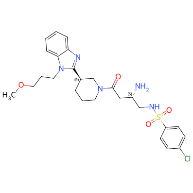 COCCCn1c([C@@H]2CCCN(C(=O)C[C@H](N)CNS(=O)(=O)c3ccc(Cl)cc3)C2)nc2ccccc21